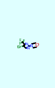 FC(F)(F)c1nc(N2CCOCC2)ncc1Br